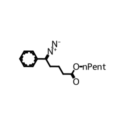 CCCCCOC(=O)CCCC(=[N+]=[N-])c1ccccc1